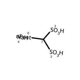 CCCCCC(S(=O)(=O)O)S(=O)(=O)O.[NaH]